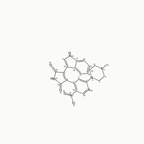 CN1CCN(c2cc(C3=C(c4c[nH]c5ccccc45)C(=O)NC3=O)c([N+](=O)[O-])cn2)CC1